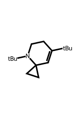 CC(C)(C)C1=CC2(CC2)N(C(C)(C)C)CC1